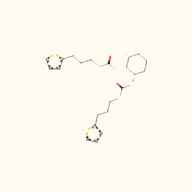 O=C(NCCCc1cccs1)N[C@@H]1CCCC[C@H]1NC(=O)NCCCc1cccs1